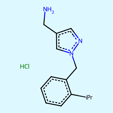 CC(C)c1ccccc1Cn1cc(CN)cn1.Cl